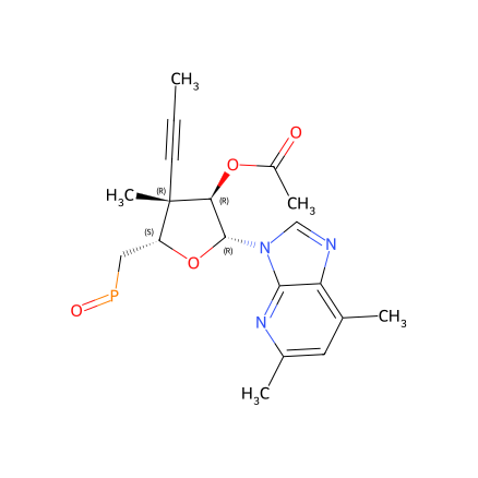 CC#C[C@@]1(C)[C@@H](CP=O)O[C@@H](n2cnc3c(C)cc(C)nc32)[C@@H]1OC(C)=O